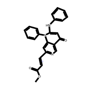 COC(=O)/C=C/c1cc2c(cn1)c(=O)cc(Nc1ccccc1)n2-c1ccccc1